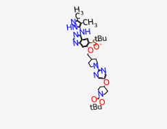 Cc1n[nH]c(Nc2ncnc3cc(OCC4CCN(c5ncc(OC6CCN(C(=O)OC(C)(C)C)CC6)cn5)CC4)c([S+]([O-])C(C)(C)C)cc23)c1C